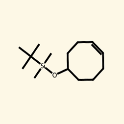 CC(C)(C)[Si](C)(C)OC1CCC=CCCC1